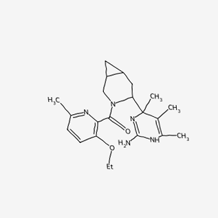 CCOc1ccc(C)nc1C(=O)N1CC2CC2CC1C1(C)N=C(N)NC(C)=C1C